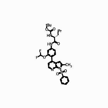 Cc1cc2c(-c3ccc(NC(=O)[C@@H](CC(C)C)NC(=O)OC(C)(C)C)cc3OC(F)F)ccnc2n1S(=O)(=O)c1ccccc1